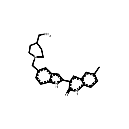 Cc1ccc2[nH]c(=O)c(-c3cc4cc(CN5CCC(CN)CC5)ccc4[nH]3)cc2c1